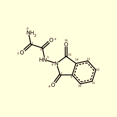 NC(=O)C(=O)NN1C(=O)c2ccccc2C1=O